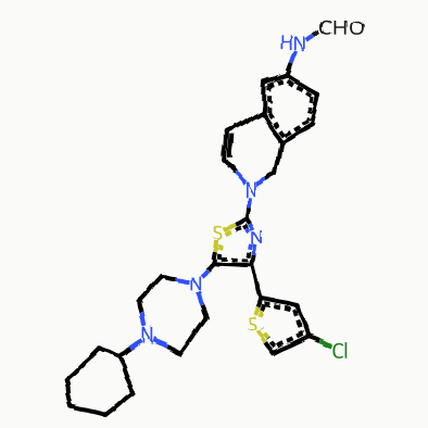 O=CNc1ccc2c(c1)C=CN(c1nc(-c3cc(Cl)cs3)c(N3CCN(C4CCCCC4)CC3)s1)C2